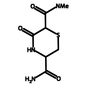 CNC(=O)C1SCC(C(N)=O)NC1=O